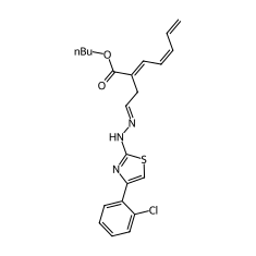 C=C/C=C\C=C(/C/C=N/Nc1nc(-c2ccccc2Cl)cs1)C(=O)OCCCC